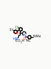 CCc1cccc(-c2c(Cl)cccc2C(O)(CCCNC(=O)O)C2CCCN(C(=O)c3ccc(CNC)cc3C#N)C2)c1